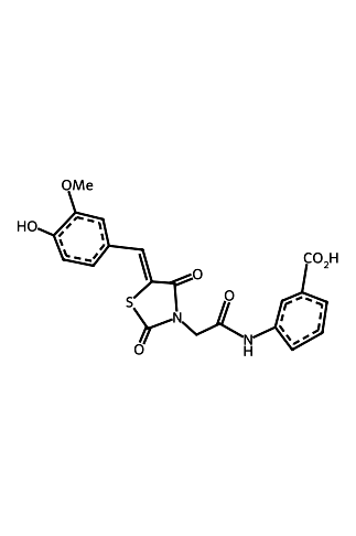 COc1cc(/C=C2\SC(=O)N(CC(=O)Nc3cccc(C(=O)O)c3)C2=O)ccc1O